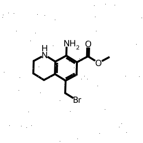 COC(=O)c1cc(CBr)c2c(c1N)NCCC2